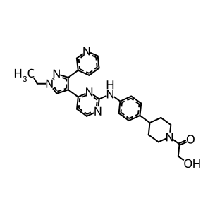 CCn1cc(-c2ccnc(Nc3ccc(C4CCN(C(=O)CO)CC4)cc3)n2)c(-c2cccnc2)n1